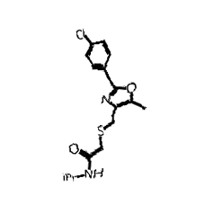 Cc1oc(-c2ccc(Cl)cc2)nc1CSCC(=O)NC(C)C